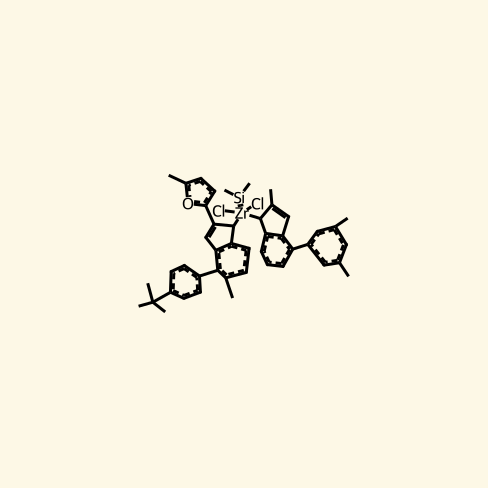 CC1=Cc2c(-c3cc(C)cc(C)c3)cccc2[CH]1[Zr]([Cl])([Cl])([CH]1C(c2ccc(C)o2)=Cc2c1ccc(C)c2-c1ccc(C(C)(C)C)cc1)=[Si](C)C